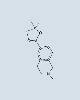 CN1CCc2cc(B3OCC(C)(C)O3)ccc2C1